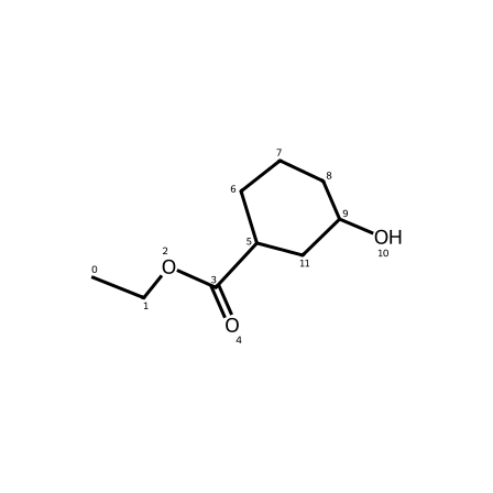 CCOC(=O)C1CCCC(O)C1